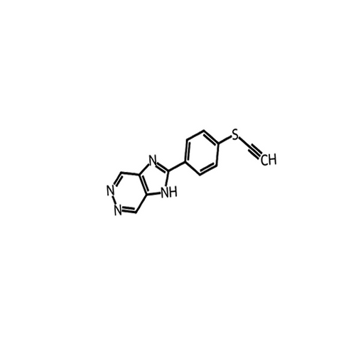 C#CSc1ccc(-c2nc3cnncc3[nH]2)cc1